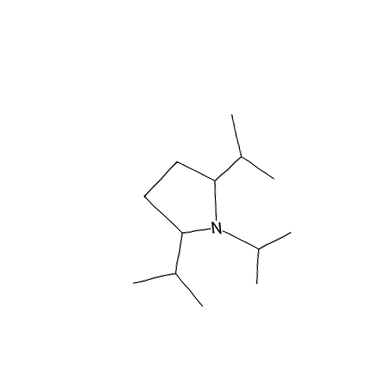 CC(C)C1CCC(C(C)C)N1C(C)C